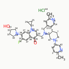 Cc1ccc(N2CCC[C@H](N(Cc3ccnc(C)c3)Cc3cn(C4CC4)c4cc(N5CC[C@H](O)C5)c(F)cc4c3=O)C2)cn1.Cl